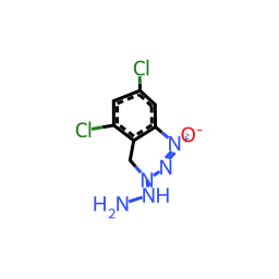 NNN1Cc2c(Cl)cc(Cl)cc2[N+]([O-])=N1